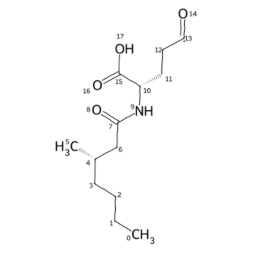 CCCC[C@H](C)CC(=O)N[C@@H](CC[C]=O)C(=O)O